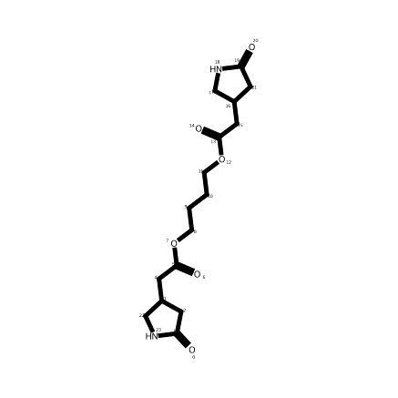 O=C1CC(CC(=O)OCCCCOC(=O)CC2CNC(=O)C2)CN1